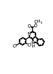 COC(=O)c1cc2c([nH]c3ccccc32)c(-c2ccc(Cl)cc2Cl)n1